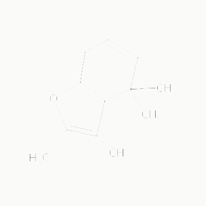 Cc1oc2c(c1C)C(C)(C)C=CC2